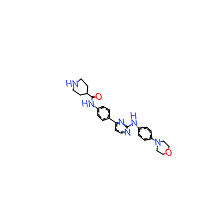 O=C(Nc1ccc(-c2ccnc(Nc3ccc(N4CCOCC4)cc3)n2)cc1)C1CCNCC1